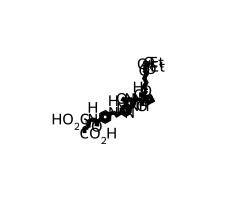 CCOP(=O)(OCC)OCCCCOC(=O)C1(C(=O)Nc2nc(=O)c3nc(CNc4ccc(C(=O)N[C@@H](CCC(=O)O)C(=O)O)cc4)cnc3[nH]2)CCC1